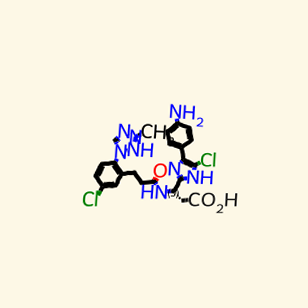 CN1N=CN(c2ccc(Cl)cc2CCC(=O)N[C@@H](CC(=O)O)c2nc(-c3ccc(N)cc3)c(Cl)[nH]2)N1